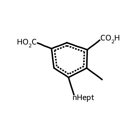 CCCCCCCc1cc(C(=O)O)cc(C(=O)O)c1C